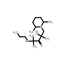 CCCNC(C)(C)C(=O)C(C)(C)CN1C(C)CCCC1C